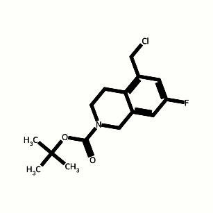 CC(C)(C)OC(=O)N1CCc2c(CCl)cc(F)cc2C1